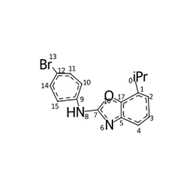 CC(C)c1cccc2nc(Nc3ccc(Br)cc3)oc12